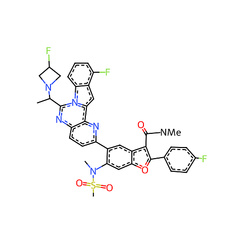 CNC(=O)c1c(-c2ccc(F)cc2)oc2cc(N(C)S(C)(=O)=O)c(-c3ccc4nc(C(C)N5CC(F)C5)n5c6cccc(F)c6cc5c4n3)cc12